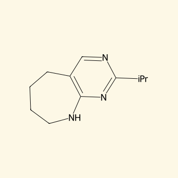 CC(C)c1ncc2c(n1)NCCCC2